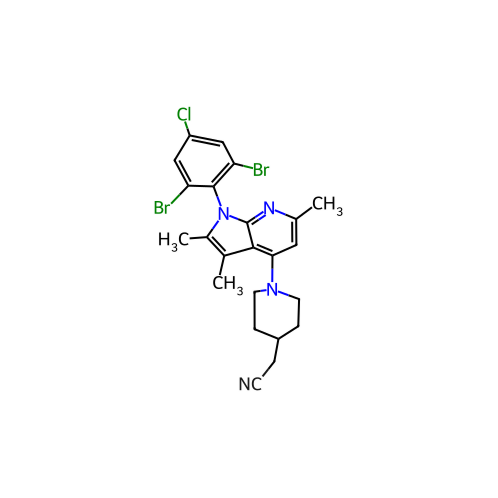 Cc1cc(N2CCC(CC#N)CC2)c2c(C)c(C)n(-c3c(Br)cc(Cl)cc3Br)c2n1